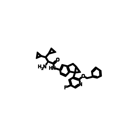 N[C@H](C(=O)Nc1ccc2c(c1)CC1CC21c1cc(F)cnc1OCc1ccccc1)C(C1CC1)C1CC1